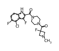 CN1CC(F)(C(=O)N2CCN(C(=O)c3[nH]c4ccc(F)c(Cl)c4c3F)CC2)C1